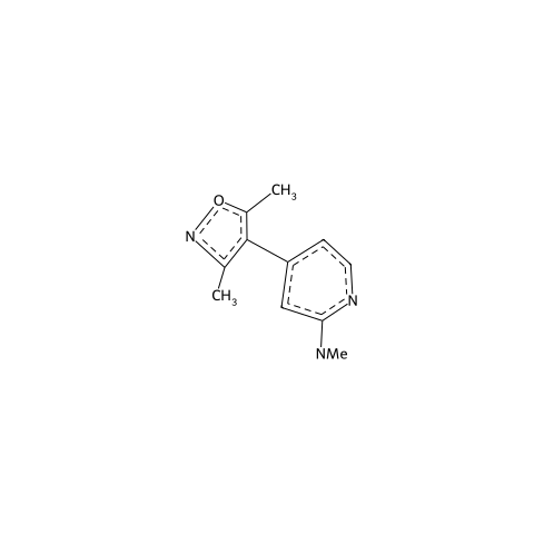 CNc1cc(-c2c(C)noc2C)ccn1